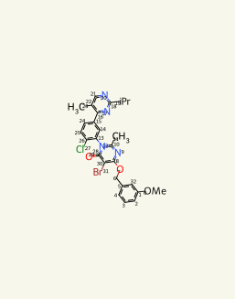 COc1cccc(COc2nc(C)n(-c3cc(-c4nc(C(C)C)ncc4C)ccc3Cl)c(=O)c2Br)c1